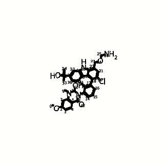 COc1ccc2c(c1)N(C)C(O)N(c1cccc(-c3c(Cl)cc(COCN)c4[nH]c5cc(C(C)(C)O)ccc5c34)c1C)C2=O